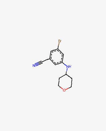 N#Cc1cc(Br)cc(NC2CCOCC2)c1